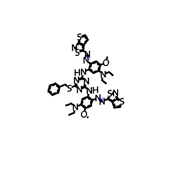 CCN(CC)c1cc(Nc2nc(Nc3cc(N(CC)CC)c(OC)cc3/N=N/c3snc4sccc34)nc(SCc3ccccc3)n2)c(/N=N/c2snc3sccc23)cc1OC